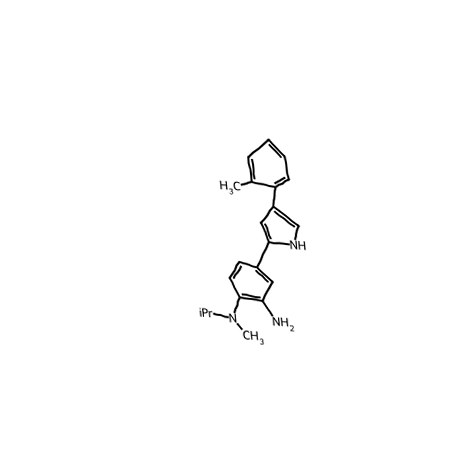 Cc1ccccc1-c1c[nH]c(-c2ccc(N(C)C(C)C)c(N)c2)c1